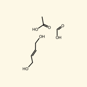 CC(=O)O.O=CO.OCC=CCO